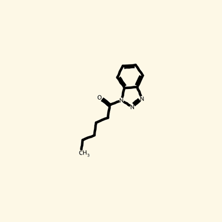 CCCCCC(=O)n1nnc2ccccc21